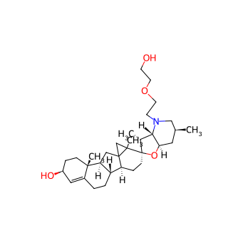 C[C@H]1C[C@H]2O[C@]3(CC[C@H]4[C@@H]5CCC6=C[C@@H](O)CC[C@]6(C)[C@H]5CC45CC53C)[C@H](C)[C@@H]2N(CCOCCO)C1